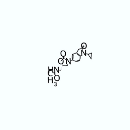 CC(=O)NC[C@H]1CN(c2ccc3c(c2)CC(=O)N3C2CC2)C(=O)O1